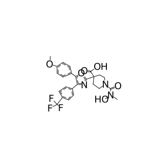 COc1ccc(-c2oc(C3(C(=O)O)CCN(C(=O)N(C)O)CC3)nc2-c2ccc(C(F)(F)F)cc2)cc1